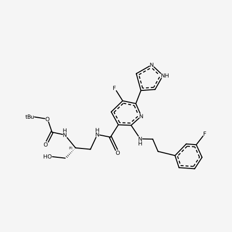 CC(C)(C)OC(=O)N[C@@H](CO)CNC(=O)c1cc(F)c(-c2cn[nH]c2)nc1NCCc1cccc(F)c1